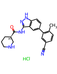 Cc1ccc(C#N)cc1-c1ccc2[nH]nc(NC(=O)[C@@H]3CCCNC3)c2c1.Cl